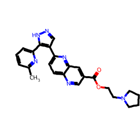 Cc1cccc(-c2[nH]ncc2-c2ccc3ncc(C(=O)OCCN4CCCC4)cc3n2)n1